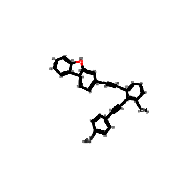 CCCCc1ccc(C#Cc2c(C)cccc2C#Cc2ccc3c(c2)oc2ccccc23)cc1